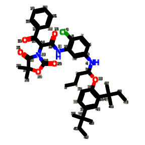 CCCC(Nc1ccc(Cl)c(NC(=O)C(C(=O)c2ccccc2)N2C(=O)OC(C)(C)C2=O)c1)Oc1ccc(C(C)(C)CC)cc1C(C)(C)CC